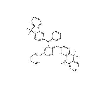 CN1c2ccccc2C(C)(C)c2ccc(-c3c4ccccc4c(-c4ccc5c(c4)-c4ccccc4C5(C)C)c4cc(-c5ccccc5)ccc34)cc21